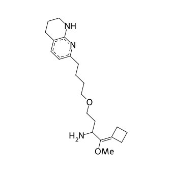 COC(=C1CCC1)C(N)CCOCCCCc1ccc2c(n1)NCCC2